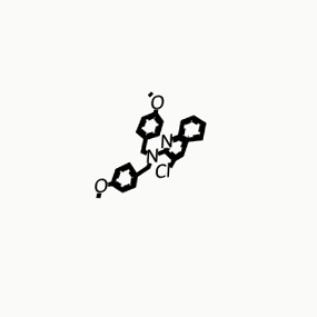 COc1ccc(CN(Cc2ccc(OC)cc2)c2nc3ccccc3cc2Cl)cc1